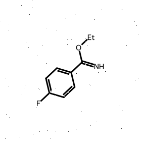 CCOC(=N)c1ccc(F)cc1